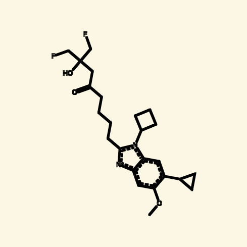 COc1cc2nc(CCCCC(=O)CC(O)(CF)CF)n(C3CCC3)c2cc1C1CC1